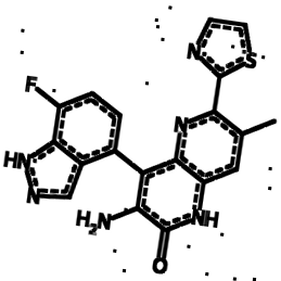 Cc1cc2[nH]c(=O)c(N)c(-c3ccc(F)c4[nH]ncc34)c2nc1-c1nccs1